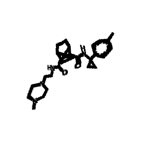 Cc1ccc(C2(NC(=O)C3C(C(=O)NCCN4CCN(C)CC4)C4CCC3C43CC3)CC2)cc1